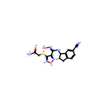 N#Cc1ccc2c(c1)C(N/C(=N/O)c1nonc1SCC(N)=O)CC2